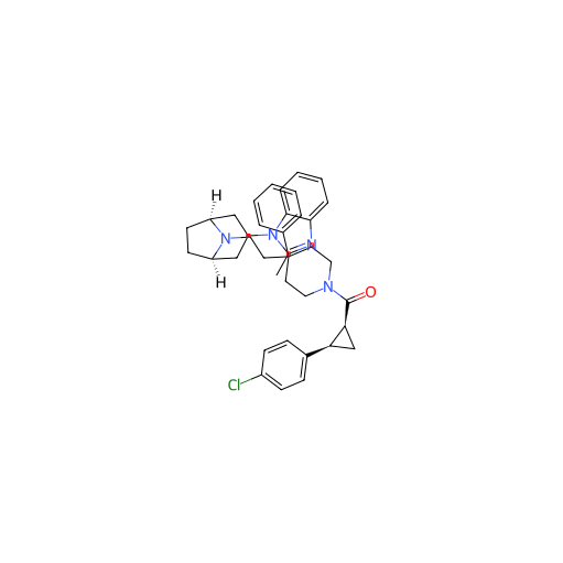 Cc1nc2ccccc2n1C1C[C@H]2CC[C@@H](C1)N2CCC1(c2ccccc2)CCN(C(=O)[C@H]2C[C@H]2c2ccc(Cl)cc2)CC1